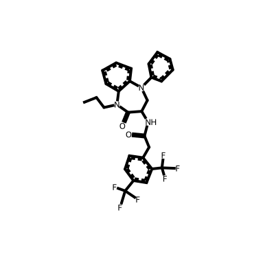 CCCN1C(=O)C(NC(=O)Cc2ccc(C(F)(F)F)cc2C(F)(F)F)CN(c2ccccc2)c2ccccc21